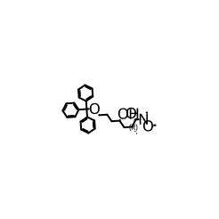 CON(C)C(=O)[C@H](C)CC(O)CCCOC(c1ccccc1)(c1ccccc1)c1ccccc1